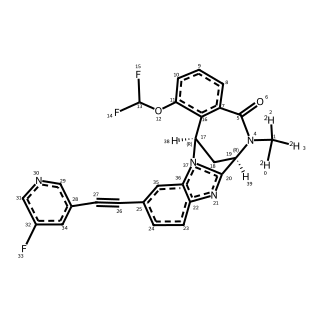 [2H]C([2H])([2H])N1C(=O)c2cccc(OC(F)F)c2[C@H]2C[C@@H]1c1nc3ccc(C#Cc4cncc(F)c4)cc3n12